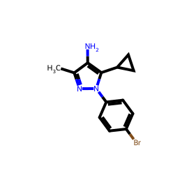 Cc1nn(-c2ccc(Br)cc2)c(C2CC2)c1N